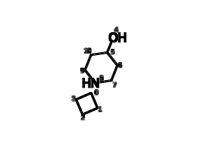 C1CCC1.OC1CCNCC1